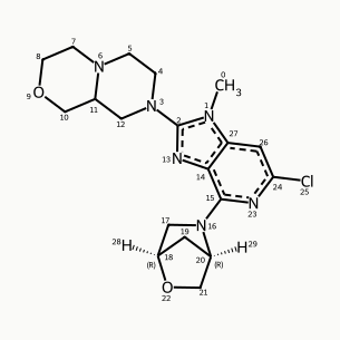 Cn1c(N2CCN3CCOCC3C2)nc2c(N3C[C@H]4C[C@@H]3CO4)nc(Cl)cc21